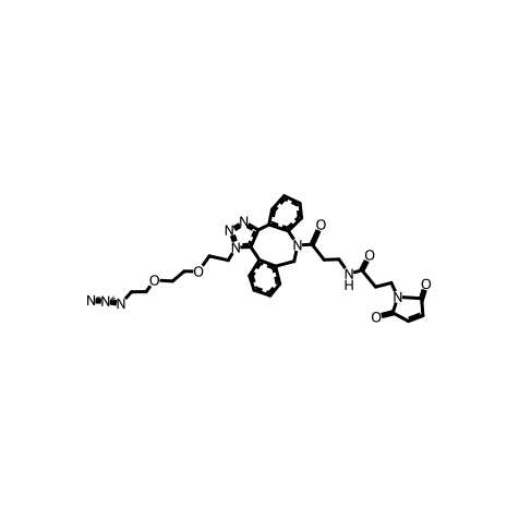 [N-]=[N+]=NCCOCCOCCn1nnc2c1-c1ccccc1CN(C(=O)CCNC(=O)CCN1C(=O)C=CC1=O)c1ccccc1-2